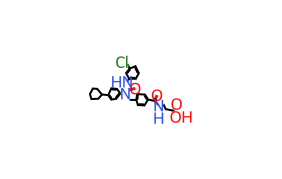 O=C(O)CCNC(=O)c1ccc(CN(C(=O)Nc2cccc(Cl)c2)c2ccc(C3CCCCC3)cc2)cc1